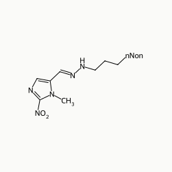 CCCCCCCCCCCCNN=Cc1cnc([N+](=O)[O-])n1C